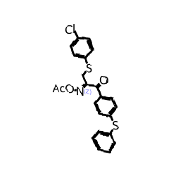 CC(=O)O/N=C(\CSc1ccc(Cl)cc1)C(=O)c1ccc(Sc2ccccc2)cc1